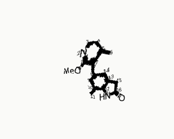 COc1nccc(C)c1-c1cc(C)c2c(c1)CC(=O)N2